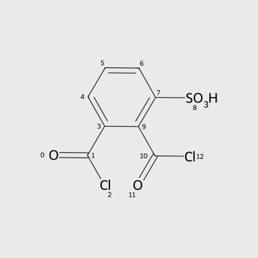 O=C(Cl)c1cccc(S(=O)(=O)O)c1C(=O)Cl